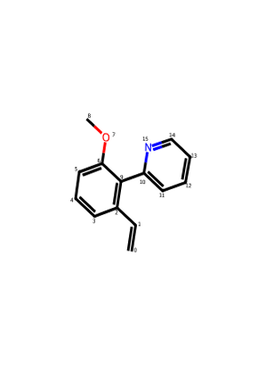 C=Cc1cccc(OC)c1-c1ccccn1